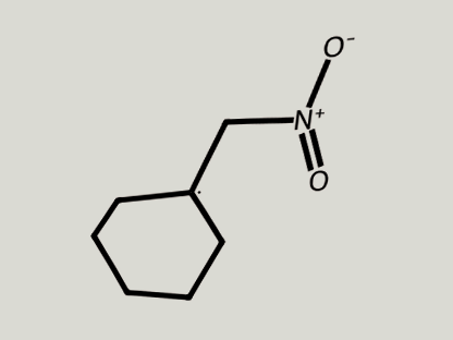 O=[N+]([O-])C[C]1CCCCC1